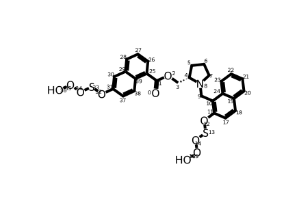 O=C(OC[C@@H]1CCCN1Cc1c(OSOOO)ccc2ccccc12)c1cccc2cc(OSOOO)ccc12